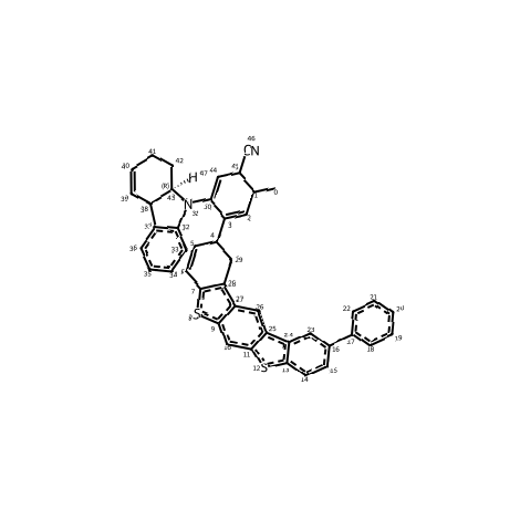 CC1C=C(C2C=Cc3sc4cc5sc6ccc(-c7ccccc7)cc6c5cc4c3C2)C(N2c3ccccc3C3C=CCC[C@H]32)=CC1C#N